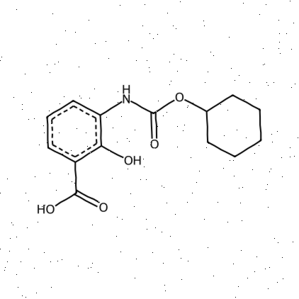 O=C(Nc1cccc(C(=O)O)c1O)OC1CCCCC1